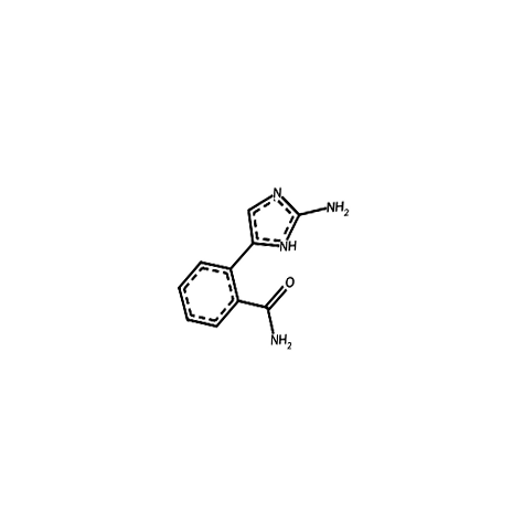 NC(=O)c1ccccc1-c1cnc(N)[nH]1